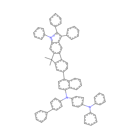 CC1(C)c2cc(-c3ccc(N(c4ccc(-c5ccccc5)cc4)c4ccc(N(c5ccccc5)c5ccccc5)cc4)c4ccccc34)ccc2-c2cc3c(-c4ccccc4)c(-c4ccccc4)n(-c4ccccc4)c3cc21